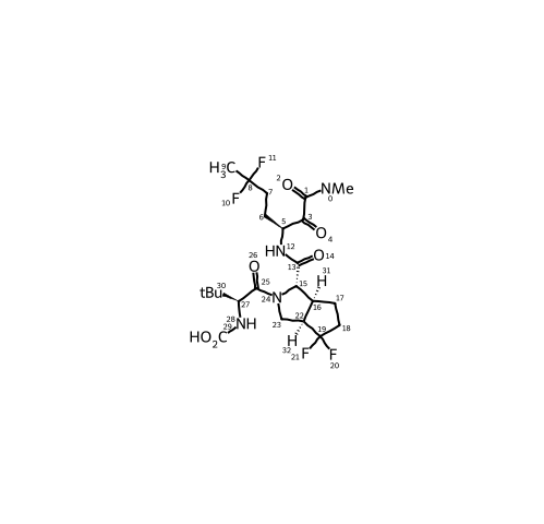 CNC(=O)C(=O)[C@H](CCC(C)(F)F)NC(=O)[C@@H]1[C@H]2CCC(F)(F)[C@H]2CN1C(=O)[C@@H](NC(=O)O)C(C)(C)C